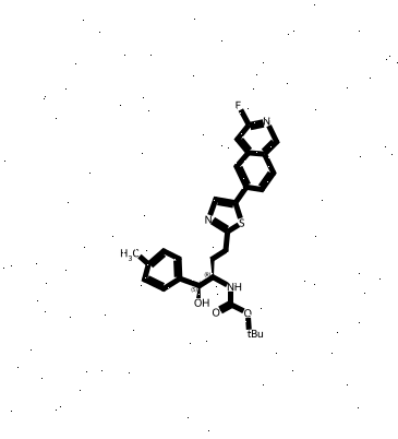 Cc1ccc([C@H](O)[C@@H](CCc2ncc(-c3ccc4cnc(F)cc4c3)s2)NC(=O)OC(C)(C)C)cc1